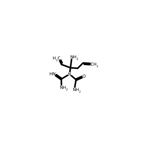 C=CCC(N)(C=C)N(C(=N)N)C(N)=O